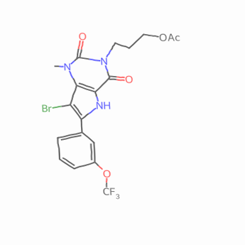 CC(=O)OCCCn1c(=O)c2[nH]c(-c3cccc(OC(F)(F)F)c3)c(Br)c2n(C)c1=O